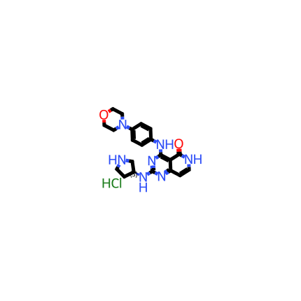 Cl.O=c1[nH]ccc2nc(N[C@H]3CCNC3)nc(Nc3ccc(N4CCOCC4)cc3)c12